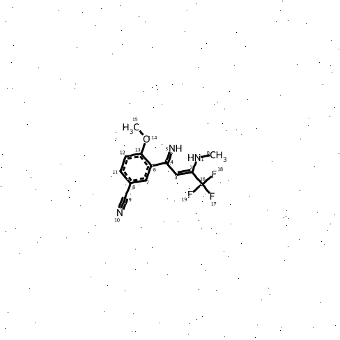 CN/C(=C\C(=N)c1cc(C#N)ccc1OC)C(F)(F)F